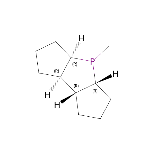 CP1[C@@H]2CCC[C@@H]2[C@H]2CCC[C@H]21